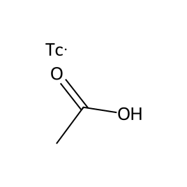 CC(=O)O.[Tc]